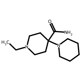 CCN1CCC(C(N)=O)(N2CCCCC2)CC1